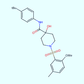 COc1ccc(C)cc1S(=O)(=O)N1CCC(O)(C(=O)Nc2ccc(C(C)(C)C)cc2)CC1